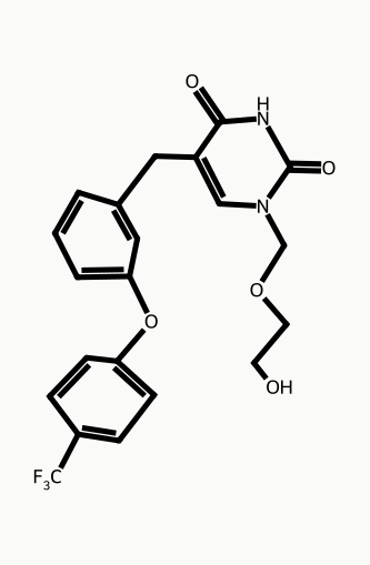 O=c1[nH]c(=O)n(COCCO)cc1Cc1cccc(Oc2ccc(C(F)(F)F)cc2)c1